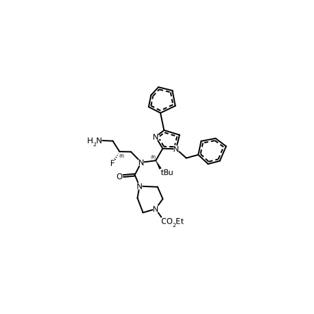 CCOC(=O)N1CCN(C(=O)N(C[C@H](F)CN)[C@@H](c2nc(-c3ccccc3)cn2Cc2ccccc2)C(C)(C)C)CC1